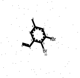 C=Cc1cc(C)cc(Br)c1Br